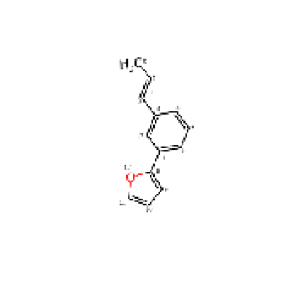 C/C=C/c1cccc(-c2ccco2)c1